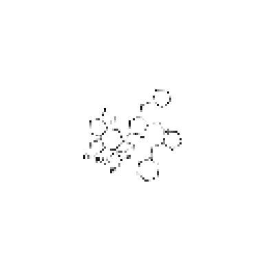 CC(C)C1=CC2CC3(C=O)[C@@H]4CC[C@@H](C)[C@H]4CC2([C@H]2C[C@@H](CC4CCCC4)[C@H](CN4CCCC4CN4CCCCC4)O2)[C@]13C(=O)O